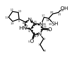 CCCn1c(=O)c2[nH]c(C3CCCC3)nc2n(CC(S)CCO)c1=O